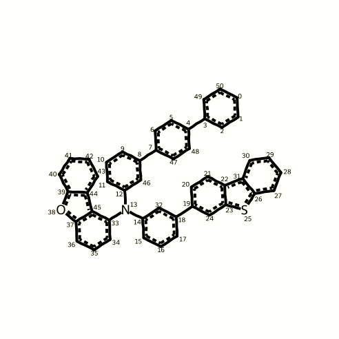 c1ccc(-c2ccc(-c3cccc(N(c4cccc(-c5ccc6c(c5)sc5ccccc56)c4)c4cccc5oc6ccccc6c45)c3)cc2)cc1